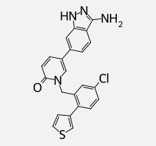 Nc1n[nH]c2cc(-c3ccc(=O)n(Cc4cc(Cl)ccc4-c4ccsc4)c3)ccc12